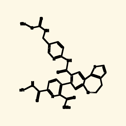 CCCNC(=O)c1ccc(-c2cc3c(cc2C(=O)Nc2ccc(CNC(=O)OC(C)(C)C)cn2)-c2sccc2CCO3)c(C(=O)OC)n1